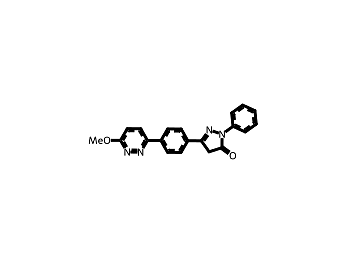 COc1ccc(-c2ccc(C3=NN(c4ccccc4)C(=O)C3)cc2)nn1